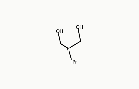 CC(C)P(CO)CO